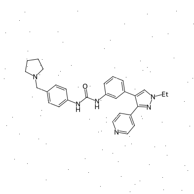 CCn1cc(-c2cccc(NC(=O)Nc3ccc(CN4CCCC4)cc3)c2)c(-c2ccncc2)n1